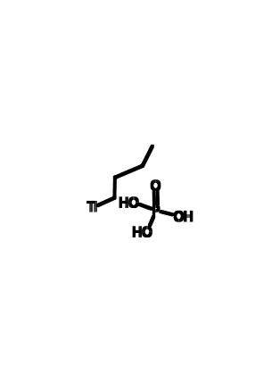 CCC[CH2][Ti].O=P(O)(O)O